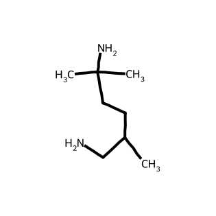 CC(CN)CCC(C)(C)N